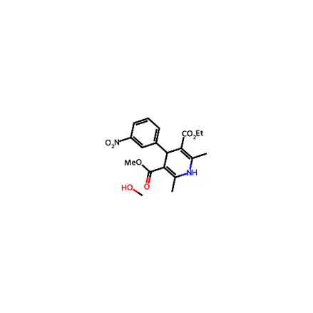 CCOC(=O)C1=C(C)NC(C)=C(C(=O)OC)C1c1cccc([N+](=O)[O-])c1.CO